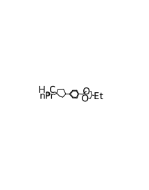 CCCC1(C)CCC(c2ccc(C3OCC(CC)CO3)cc2)CC1